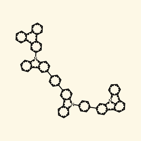 c1ccc2c(c1)c1ccccc1c1cc(-n3c4ccccc4c4cc(-c5ccc(-c6ccc7c(c6)c6ccccc6n7-c6ccc(-c7ccc8c9cccc%10c%11ccccc%11n(c8c7)c%109)cc6)cc5)ccc43)ccc21